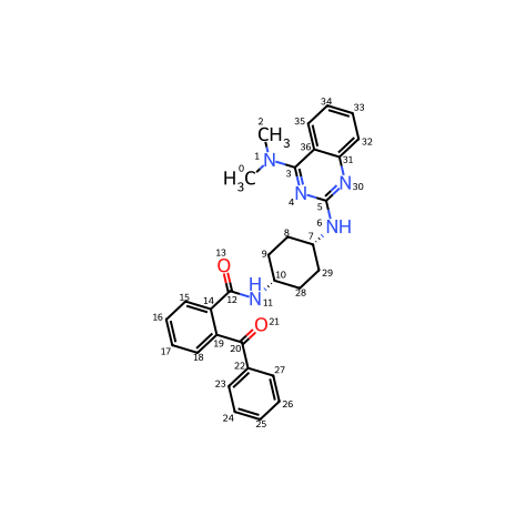 CN(C)c1nc(N[C@H]2CC[C@@H](NC(=O)c3ccccc3C(=O)c3ccccc3)CC2)nc2ccccc12